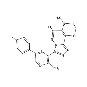 CN1CCOc2c1c(Cl)nn1c(-c3nc(-c4ccc(F)cc4)cnc3N)nnc21